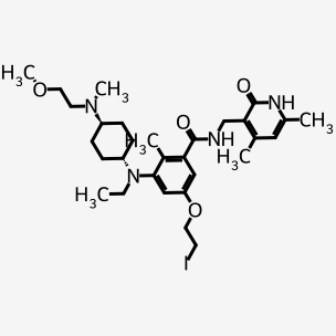 CCN(c1cc(OCCI)cc(C(=O)NCc2c(C)cc(C)[nH]c2=O)c1C)[C@H]1CC[C@H](N(C)CCOC)CC1